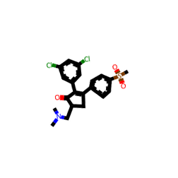 CN(C)CC1CC(c2ccc(S(C)(=O)=O)cc2)=C(c2cc(Cl)cc(Cl)c2)C1=O